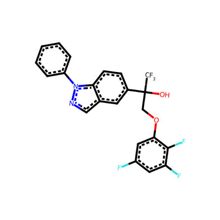 OC(COc1cc(F)cc(F)c1F)(c1ccc2c(cnn2-c2ccccc2)c1)C(F)(F)F